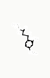 COc1ccc(C(C)CC(=O)NN)c(O)c1